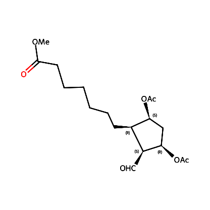 COC(=O)CCCCCC[C@@H]1[C@H](C=O)[C@H](OC(C)=O)C[C@@H]1OC(C)=O